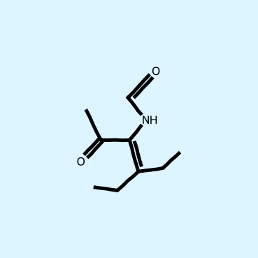 CCC(CC)=C(NC=O)C(C)=O